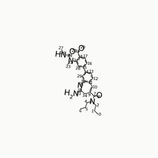 CCCN(CCC)C(=O)C1=Cc2ccc(-c3ccc(C=O)c(N(C)C(=O)NC)c3)cc2N=C(N)C1